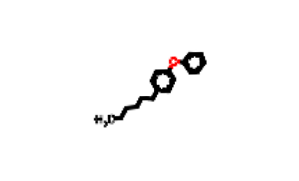 [CH2]CCCCCc1ccc(Oc2ccccc2)cc1